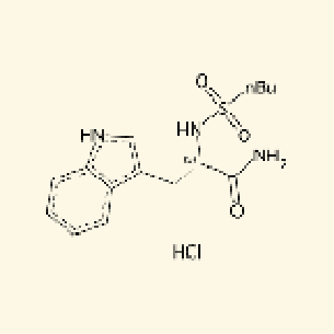 CCCCS(=O)(=O)N[C@@H](Cc1c[nH]c2ccccc12)C(N)=O.Cl